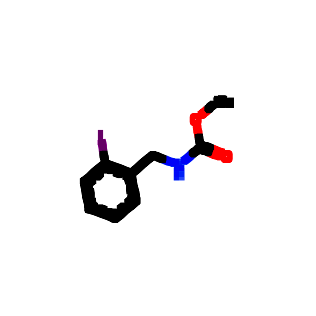 CC(C)(C)OC(=O)NCc1ccccc1I